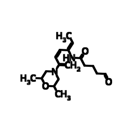 C=C(/C=C\C(=C/C)NC(=O)CCCC=O)N1CC(C)OC(C)C1